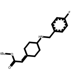 CC(C)(C)OC(=O)C=C1CCC(NCc2ccc(F)cc2)CC1